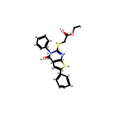 CCOC(=O)CSc1nc2sc(-c3ccccc3)cc2c(=O)n1-c1ccccc1